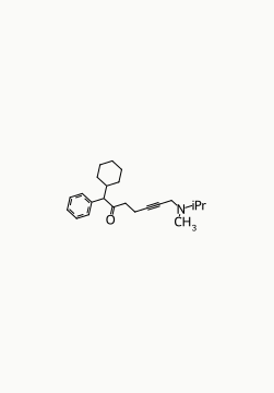 CC(C)N(C)CC#CCCC(=O)C(c1ccccc1)C1CCCCC1